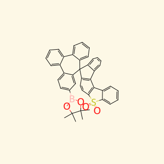 CC1(C)OB(c2ccc3c(c2)C2(c4ccccc4-c4ccccc4-3)c3ccccc3-c3c2ccc2c3-c3ccccc3S2(=O)=O)OC1(C)C